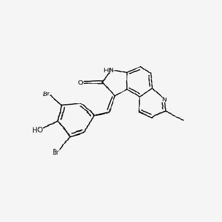 Cc1ccc2c3c(ccc2n1)NC(=O)C3=Cc1cc(Br)c(O)c(Br)c1